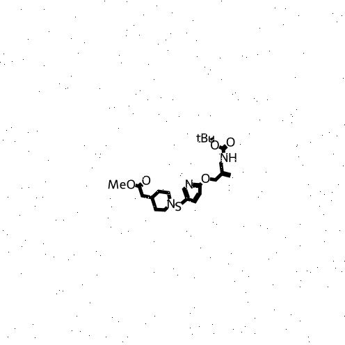 C=C(CNC(=O)OC(C)(C)C)COc1ccc(SN2CCC(CC(=O)OC)CC2)cn1